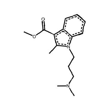 COC(=O)c1c(C)n(CCCN(C)C)c2ccccc12